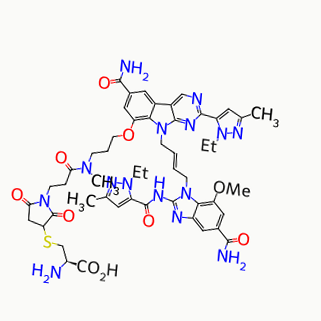 CCn1nc(C)cc1C(=O)Nc1nc2cc(C(N)=O)cc(OC)c2n1C/C=C/Cn1c2nc(-c3cc(C)nn3CC)ncc2c2cc(C(N)=O)cc(OCCCN(C)C(=O)CCN3C(=O)CC(SC[C@H](N)C(=O)O)C3=O)c21